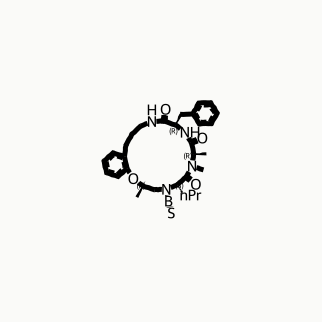 CCC[C@H]1C(=O)N(C)[C@H](C)C(=O)N[C@H](Cc2ccccc2)C(=O)NCCCc2ccccc2O[C@H](C)CN1B=S